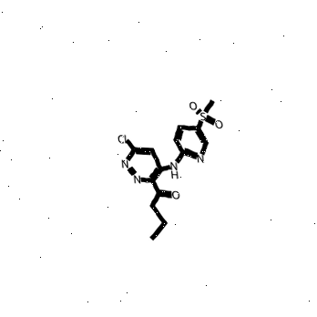 CCCC(=O)c1nnc(Cl)cc1Nc1ccc(S(C)(=O)=O)cn1